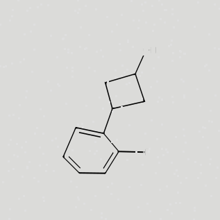 OC1CC(c2ccccc2F)C1